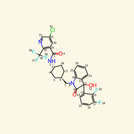 O=C(N[C@H]1CC[C@H](CN2C(=O)C(O)(c3cccc(F)c3F)c3ccccc32)CC1)c1cc(Cl)cnc1C(F)(F)F